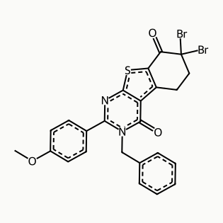 COc1ccc(-c2nc3sc4c(c3c(=O)n2Cc2ccccc2)CCC(Br)(Br)C4=O)cc1